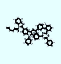 C=C/C=C\C=C(/C)n1c(-c2ccc3c(c2)c2cc(-c4ccc5oc6cccc(-c7nc(-c8ccccc8)nc(-c8ccccc8)n7)c6c5c4)ccc2n3-c2ccccc2)nc2ccccc21